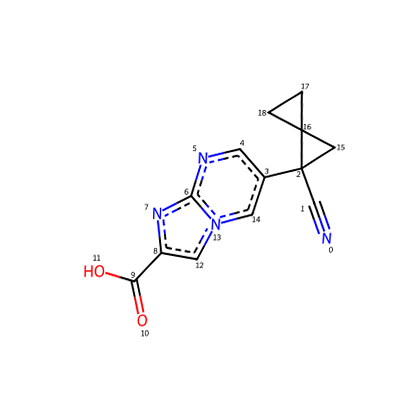 N#CC1(c2cnc3nc(C(=O)O)cn3c2)CC12CC2